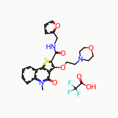 Cn1c(=O)c2c(OCCN3CCOCC3)c(C(=O)NCc3ccco3)sc2c2ccccc21.O=C(O)C(F)(F)F